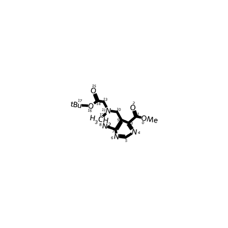 COC(=O)c1ncnc(N)c1CN(C)CC(=O)OC(C)(C)C